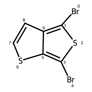 Brc1sc(Br)c2sccc12